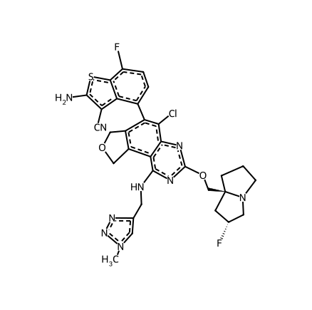 Cn1cc(CNc2nc(OC[C@@]34CCCN3C[C@H](F)C4)nc3c(Cl)c(-c4ccc(F)c5sc(N)c(C#N)c45)c4c(c23)COC4)nn1